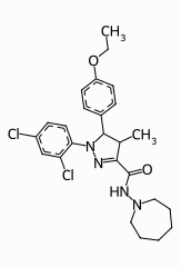 CCOc1ccc(C2C(C)C(C(=O)NN3CCCCCC3)=NN2c2ccc(Cl)cc2Cl)cc1